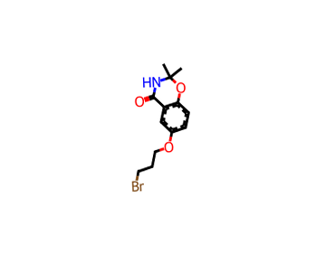 CC1(C)NC(=O)c2cc(OCCCBr)ccc2O1